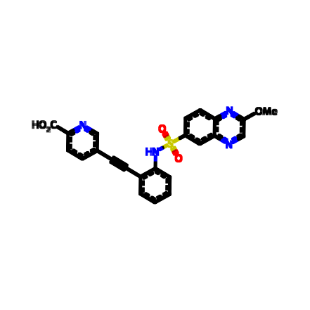 COc1cnc2cc(S(=O)(=O)Nc3ccccc3C#Cc3ccc(C(=O)O)nc3)ccc2n1